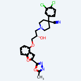 Cc1nnc(-c2cc3c(OC[C@@H](O)CN4CCC(C#N)(c5ccc(Cl)c(Cl)c5)CC4)cccc3o2)o1